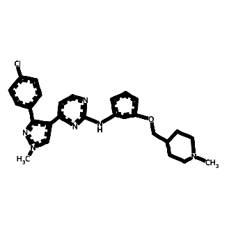 CN1CCC(COc2cccc(Nc3nccc(-c4cn(C)nc4-c4ccc(Cl)cc4)n3)c2)CC1